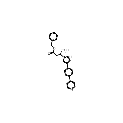 Cl.O=C(CC(C(=O)O)n1ccc(-c2ccc(-c3ccncc3)cc2)c1)OCc1ccccc1